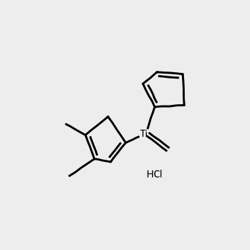 Cl.[CH2]=[Ti]([C]1=CC=CC1)[C]1=CC(C)=C(C)C1